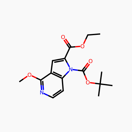 CCOC(=O)c1cc2c(OC)nccc2n1C(=O)OC(C)(C)C